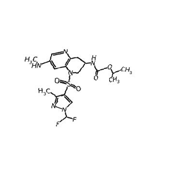 CNc1cnc2c(c1)N(S(=O)(=O)c1cn(C(F)F)nc1C)CC(NC(=O)OC(C)C)C2